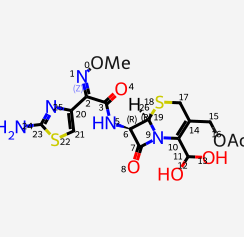 CO/N=C(\C(=O)N[C@@H]1C(=O)N2C(C(O)O)=C(COC(C)=O)CS[C@H]12)c1csc(N)n1